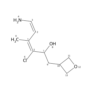 CC(/C=C\N)=C(\Cl)C(O)CC1COC1